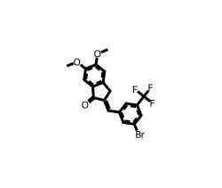 COc1cc2c(cc1OC)C(=O)/C(=C/c1cc(Br)cc(C(F)(F)F)c1)C2